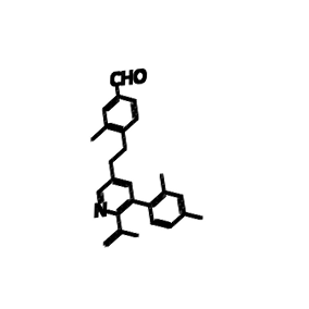 C=C(C)c1ncc(CCc2ccc(C=O)cc2C)cc1-c1ccc(C)cc1C